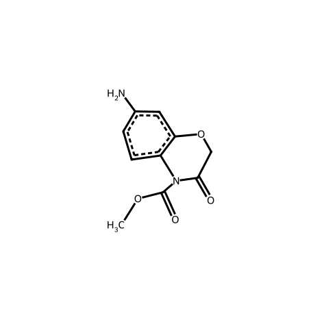 COC(=O)N1C(=O)COc2cc(N)ccc21